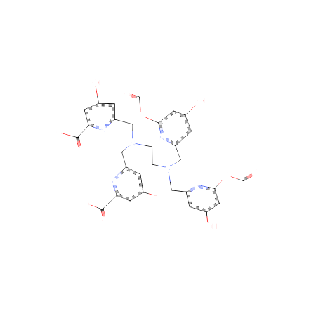 O=COc1cc(O)cc(CN(CCN(Cc2cc(O)cc(C(=O)O)n2)Cc2cc(O)cc(C(=O)O)n2)Cc2cc(O)cc(OC=O)n2)n1